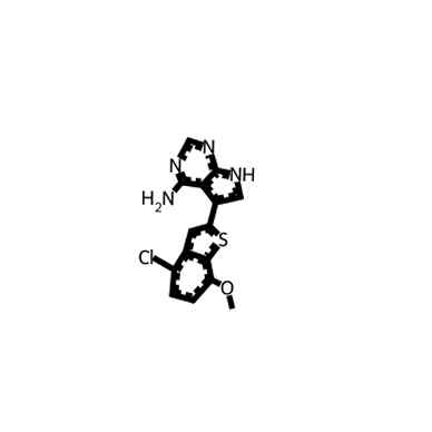 COc1ccc(Cl)c2cc(-c3c[nH]c4ncnc(N)c34)sc12